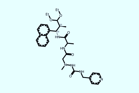 CCOC(OCC)[C@@H](C)[C@H](NC(=O)C(C)NC(=O)CN(C)NC(=O)NCc1ccncc1)c1cccc2ccccc12